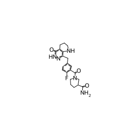 NC(=O)C1CCCN(C(=O)c2cc(Cc3n[nH]c(=O)c4c3NCCC4)ccc2F)C1